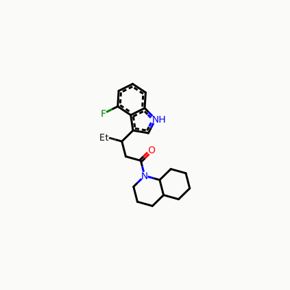 CCC(CC(=O)N1CCCC2CCCCC21)c1c[nH]c2cccc(F)c12